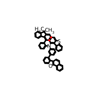 CC1(C)c2ccccc2-c2c(-c3ccccc3N(c3cccc(-c4cccc5oc6c7ccccc7ccc6c45)c3)c3cccc4sc5ccccc5c34)cccc21